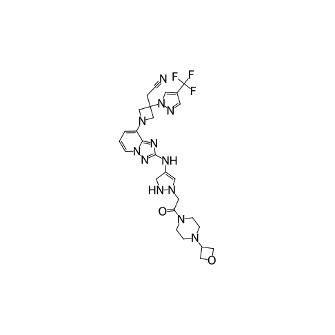 N#CCC1(n2cc(C(F)(F)F)cn2)CN(c2cccn3nc(NC4=CN(CC(=O)N5CCN(C6COC6)CC5)NC4)nc23)C1